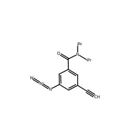 C#Cc1cc(N=[N+]=[N-])cc(C(=O)N(C(C)C)C(C)C)c1